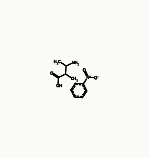 CC(N)C(C)C(=O)O.O=[N+]([O-])c1ccccc1